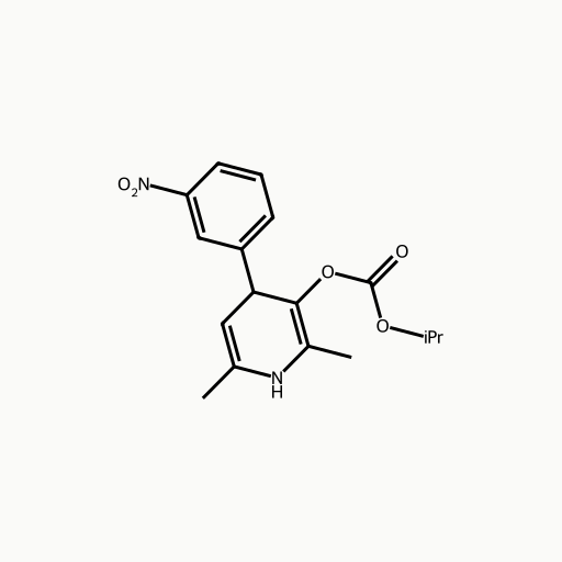 CC1=CC(c2cccc([N+](=O)[O-])c2)C(OC(=O)OC(C)C)=C(C)N1